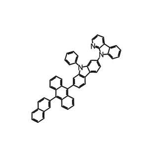 c1ccc(-n2c3cc(-c4c5ccccc5c(-c5ccc6ccccc6c5)c5ccccc45)ccc3c3ccc(-n4c5ccccc5c5cccnc54)cc32)cc1